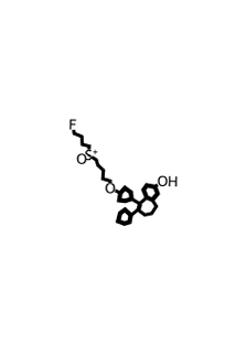 [O-][S+](CCCCF)CCCCCOc1ccc(C2=C(c3ccccc3)CCCc3cc(O)ccc32)cc1